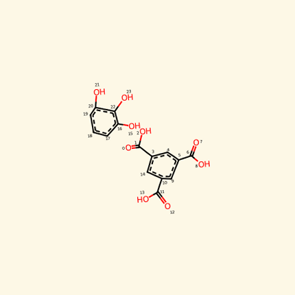 O=C(O)c1cc(C(=O)O)cc(C(=O)O)c1.Oc1cccc(O)c1O